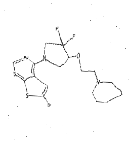 FC1(F)CN(c2ncnc3sc(Br)cc23)CC1OCCN1CCCCC1